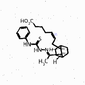 CC(=NNC(=S)Nc1ccccc1)[C@H]1C2CCC(CC2)[C@@H]1C/C=C\CCCC(=O)O